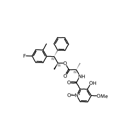 COc1cc[n+]([O-])c(C(=O)N[C@@H](C)C(=O)O[C@@H](C)[C@@H](c2ccccc2)c2ccc(F)cc2C)c1O